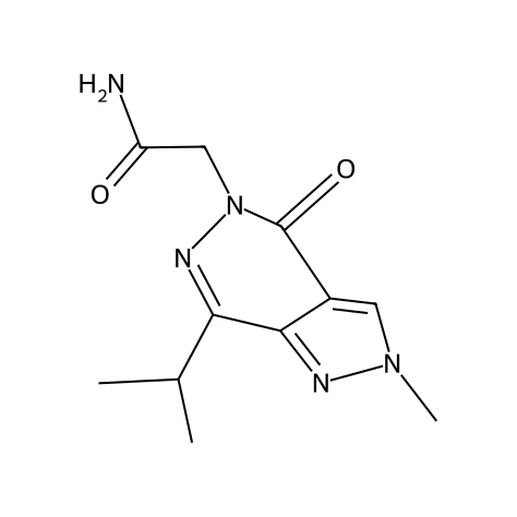 CC(C)c1nn(CC(N)=O)c(=O)c2cn(C)nc12